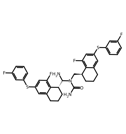 NC(=O)N(C[C@@H]1CCCc2cc(Sc3cccc(F)c3)cc(F)c21)C(N)[C@@H]1CCCc2cc(Sc3cccc(F)c3)cc(F)c21